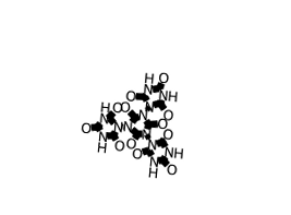 O=c1[nH]c(=O)n(-n2c(=O)n(-n3c(=O)[nH]c(=O)[nH]c3=O)c(=O)n(-n3c(=O)[nH]c(=O)[nH]c3=O)c2=O)c(=O)[nH]1